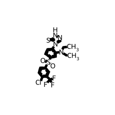 CCN(CC)c1cc(S(=O)(=O)c2ccc(Cl)c(C(F)(F)F)c2)ccc1-n1cn[nH]c1=S